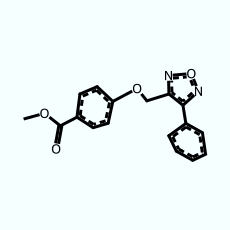 COC(=O)c1ccc(OCc2nonc2-c2ccccc2)cc1